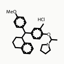 COc1ccc(C(c2ccc(OC(C)N3CCCC3)c(C)c2)C2CCCc3ccccc32)cc1.Cl